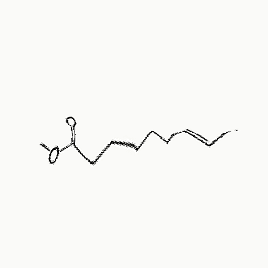 [CH2]C=CCCCCCC(=O)OC